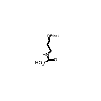 CCCCCCCCNC(=O)C(=O)O